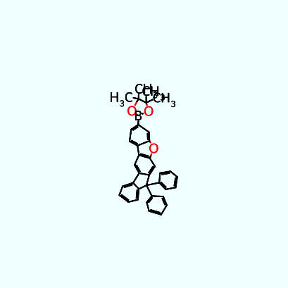 CC1(C)OB(c2ccc3c(c2)oc2cc4c(cc23)-c2ccccc2C4(c2ccccc2)c2ccccc2)OC1(C)C